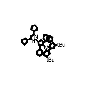 CC(C)(C)c1ccc2c(c1)c1cc(C(C)(C)C)cc(-c3ccccc3)c1n2-c1c(-c2ccccc2)cc(-c2nc(C3=CCCC=C3)cc(-c3ccccc3)n2)cc1-c1ccccc1